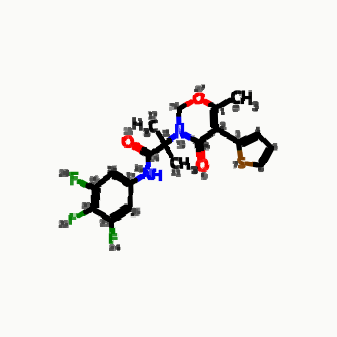 CC1=C(c2cccs2)C(=O)N(C(C)(C)C(=O)Nc2cc(F)c(F)c(F)c2)CO1